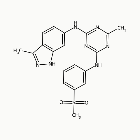 Cc1nc(Nc2cccc(S(C)(=O)=O)c2)nc(Nc2ccc3c(C)n[nH]c3c2)n1